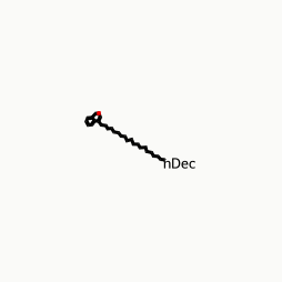 CCCCCCCCCCCCCCCCCCCCCCCCCCCCCCc1cccc2ccccc12